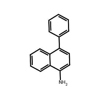 Nc1ccc(-c2ccccc2)c2ccccc12